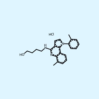 Cc1ccccc1-n1ccc2c(NCCCCO)nc3c(C)cccc3c21.Cl